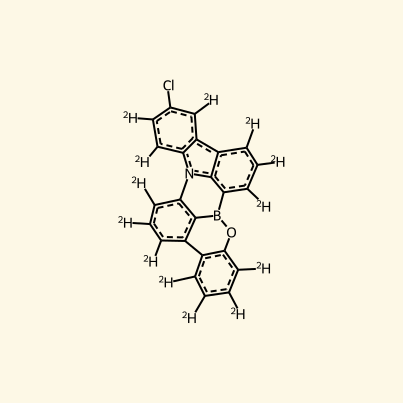 [2H]c1c([2H])c([2H])c2c(c1[2H])OB1c3c-2c([2H])c([2H])c([2H])c3-n2c3c([2H])c([2H])c(Cl)c([2H])c3c3c([2H])c([2H])c([2H])c1c32